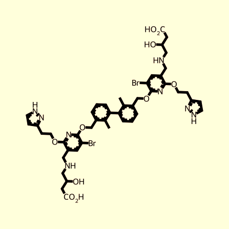 Cc1c(COc2nc(OCCc3cc[nH]n3)c(CNCC(O)CC(=O)O)cc2Br)cccc1-c1cccc(COc2nc(OCCc3cc[nH]n3)c(CNCC(O)CC(=O)O)cc2Br)c1C